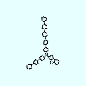 c1ccc(-c2ccc(-c3ccc(-c4ccc(-c5ccc(N(c6ccc(-c7ccc(-c8ccccc8)cc7)cc6)c6ccc7c(c6)oc6ccccc67)cc5)cc4)cc3)cc2)cc1